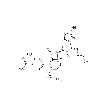 C/C=C\C1=C(C(=O)OC(C)OC(C)=O)N2C(=O)[C@@H](NC(=O)/C(=N\OCC)c3csc(N)n3)[C@@H]2SC1